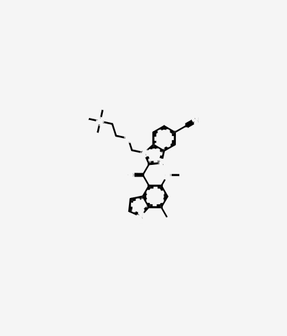 COc1cc(C)c2[nH]ccc2c1C(=O)c1nc2cc(C#N)ccc2n1COCC[Si](C)(C)C